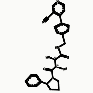 N#Cc1cnccc1-c1ccc(CNC(=O)[C@H](O)[C@@H](O)C(=O)N2CCCC2c2ccccc2)cc1